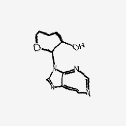 OC1CCOC1n1cnc2cncnc21